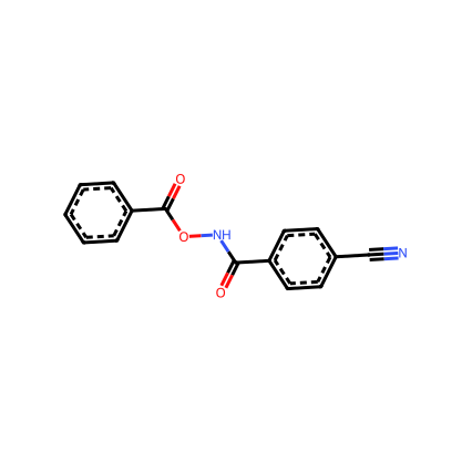 N#Cc1ccc(C(=O)NOC(=O)c2ccccc2)cc1